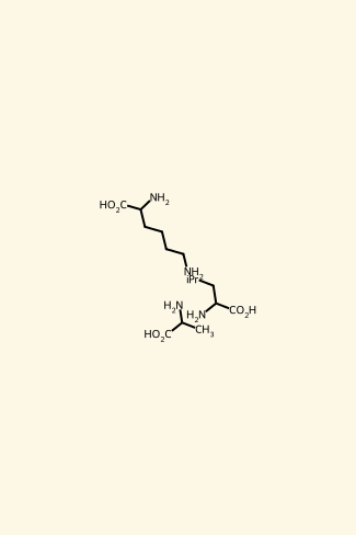 CC(C)CC(N)C(=O)O.CC(N)C(=O)O.NCCCCC(N)C(=O)O